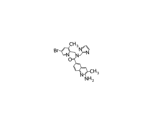 Cc1cc2cc(C(=O)N(Cc3ncccn3)Cc3ncc(Br)cc3C)ccc2nc1N